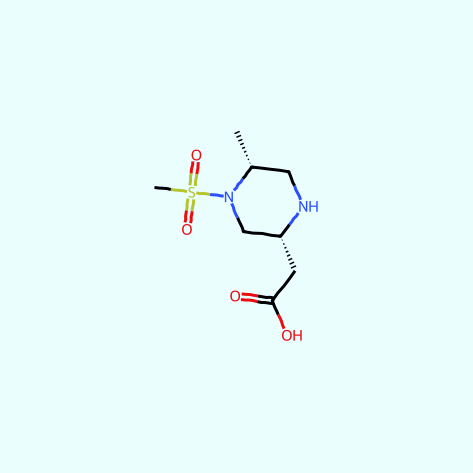 C[C@@H]1CN[C@H](CC(=O)O)CN1S(C)(=O)=O